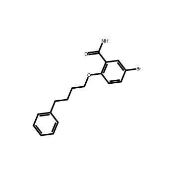 [NH]C(=O)c1cc(Br)ccc1OCCCCc1ccccc1